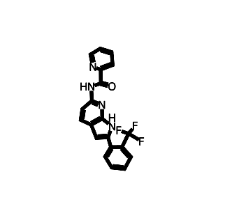 O=C(Nc1ccc2cc(-c3ccccc3C(F)(F)F)[nH]c2n1)c1ccccn1